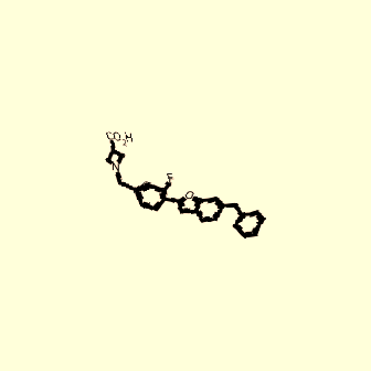 O=C(O)C1CN(Cc2ccc(-c3cc4ccc(Cc5ccccc5)cc4o3)c(F)c2)C1